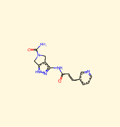 NC(=O)N1Cc2[nH]nc(NC(=O)C=Cc3cccnc3)c2C1